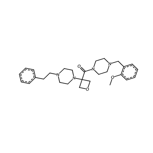 COc1ccccc1CN1CCN(C(=O)C2(N3CCN(CCc4ccccc4)CC3)COC2)CC1